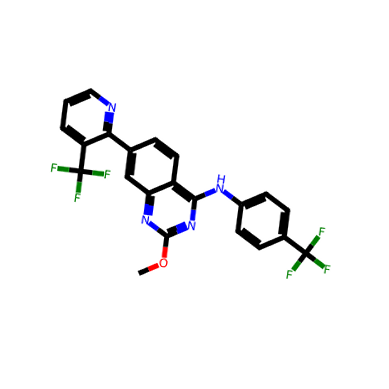 COc1nc(Nc2ccc(C(F)(F)F)cc2)c2ccc(-c3ncccc3C(F)(F)F)cc2n1